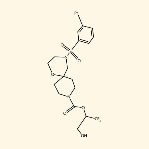 CC(C)c1cccc(S(=O)(=O)N2CCOC3(CCN(C(=O)OC(CO)C(F)(F)F)CC3)C2)c1